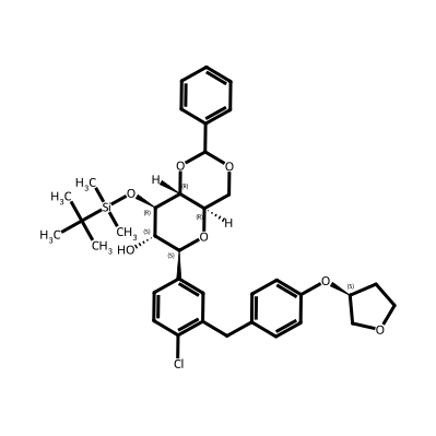 CC(C)(C)[Si](C)(C)O[C@@H]1[C@@H](O)[C@H](c2ccc(Cl)c(Cc3ccc(O[C@H]4CCOC4)cc3)c2)O[C@@H]2COC(c3ccccc3)O[C@@H]12